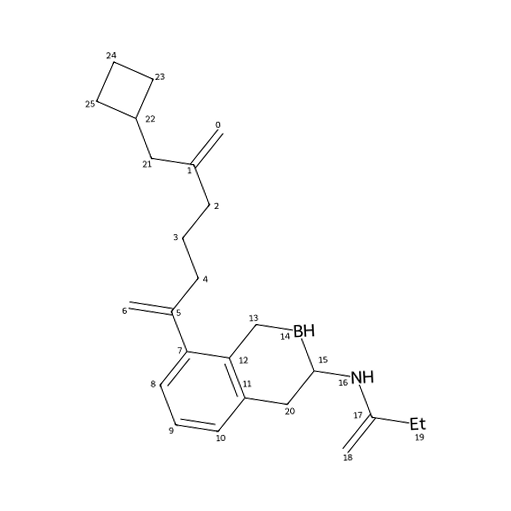 C=C(CCCC(=C)c1cccc2c1CBC(NC(=C)CC)C2)CC1CCC1